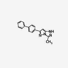 Cc1n[nH]c2cc(-c3ccc(-c4ccccc4)cc3)nn12